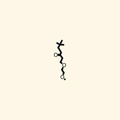 COCCOCCC(=O)CCC(C)(C)C